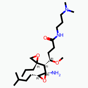 CCC[C@@]1([C@H]([C@@H](CCC(=O)NCCCN(C)C)OC)[C@@]2(N)O[C@@H]2CCC(C)C)CO1